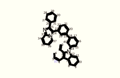 C=Cc1c(/C=C\C)c2ccccc2n1-c1cccc(-c2cccc(-c3c(-c4ccccc4)nc4ccccn34)c2)c1